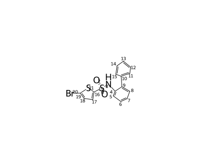 O=S(=O)(Nc1ccccc1-c1ccccc1)c1ccc(Br)s1